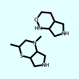 C1CC2CNCC2NO1.CC1CN(C)C2CNCC2S1